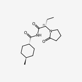 CC[C@@H](C(=O)NC(=O)[C@H]1CC[C@H](C)CC1)N1CCCC1=O